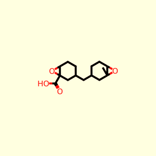 CC12CC(CC3CCC4OC4(C(=O)O)C3)CCC1O2